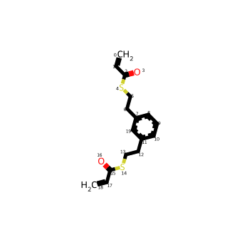 C=CC(=O)SCCc1cccc(CCSC(=O)C=C)c1